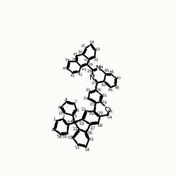 c1ccc(C2(c3ccccc3)c3ccccc3-c3cc4c(cc32)-c2ccc(-c3nc(-c5c6ccccc6cc6ccccc56)nc5ccccc35)cc2OC4)cc1